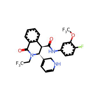 O=C(Nc1ccc(F)c(OC(F)(F)F)c1)[C@@H]1c2ccccc2C(=O)N(CC(F)(F)F)[C@H]1C1=CC=CNC1